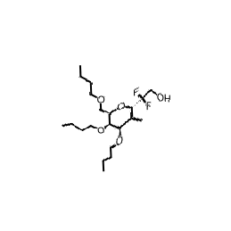 CCCCOC[C@H]1O[C@H](C(F)(F)CO)C(C)[C@@H](OCCCC)[C@H]1OCCCC